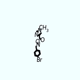 Cn1cnc(C(=O)ON=Cc2ccc(Br)cc2)c1